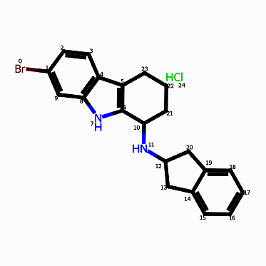 Brc1ccc2c3c([nH]c2c1)C(NC1Cc2ccccc2C1)CCC3.Cl